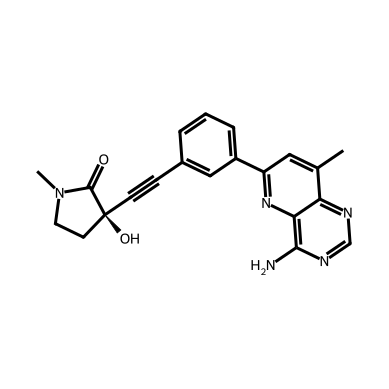 Cc1cc(-c2cccc(C#C[C@]3(O)CCN(C)C3=O)c2)nc2c(N)ncnc12